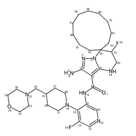 Nc1nn2c(c1C(=O)Nc1cncc(F)c1N1CCC(CN3CCOCC3)CC1)NCC(F)C21CCCCCCCCCC1